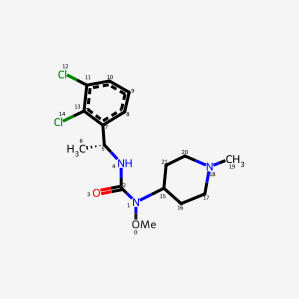 CON(C(=O)N[C@H](C)c1cccc(Cl)c1Cl)C1CCN(C)CC1